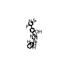 CSc1cc(-c2ccc(-c3ncc(N(C)[C@@H]4C[C@H]5CCC[C@@H](C4)N5)nn3)c(O)c2)c(F)cn1